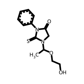 CC(OCCO)N1CC(=O)N(c2ccccc2)C1=S